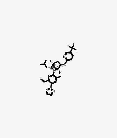 Cc1cc(-n2nccn2)c(C=O)nc1N1[C@H](CC(C)C)[C@H]2C[C@@H](Oc3ccc(C(F)(F)F)cn3)[C@@H]1C2